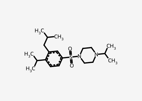 CC(C)Cc1cc(S(=O)(=O)N2CCN(C(C)C)CC2)ccc1C(C)C